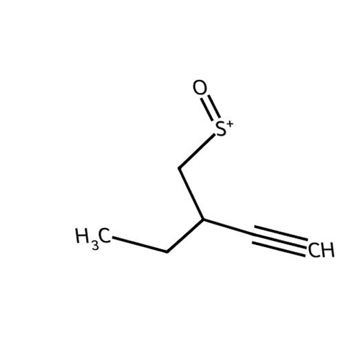 C#CC(CC)C[S+]=O